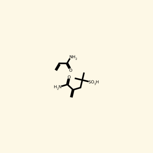 C=C(CC(C)(C)S(=O)(=O)O)C(N)=O.C=CC(N)=O